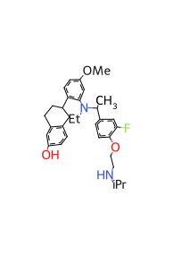 CCN(c1cc(OC)ccc1C1CCc2cc(O)ccc2C1)C(C)c1ccc(OCCNC(C)C)c(F)c1